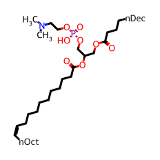 CCCCCCCC/C=C\CCCCCCCCCC(=O)OC(COC(=O)CCCCCCCCCCCCC)COP(=O)(O)OCCN(C)C